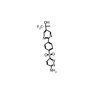 C[C@](O)(c1cnc(-c2ccc(S(=O)(=O)c3ccc(N)nn3)cc2)nc1)C(F)(F)F